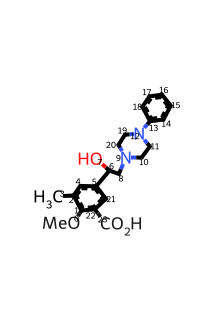 COc1c(C)cc(C(O)CN2CCN(c3ccccc3)CC2)cc1C(=O)O